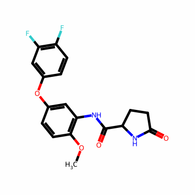 COc1ccc(Oc2ccc(F)c(F)c2)cc1NC(=O)C1CCC(=O)N1